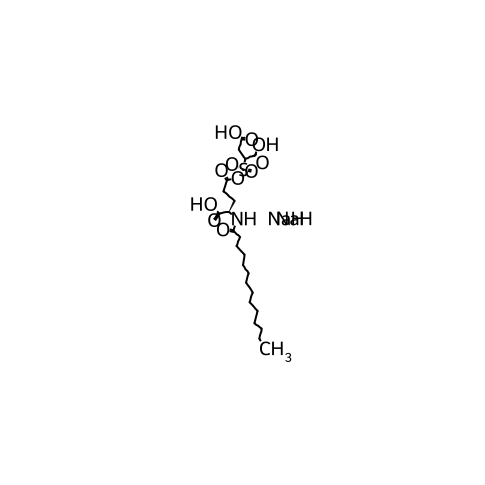 CCCCCCCCCCCCCC(=O)N[C@H](CCC(=O)OS(=O)(=O)C(CC(=O)O)C(=O)O)C(=O)O.[NaH].[NaH]